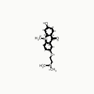 CN(C)CCOc1ccc2c(c1)c(=O)c1ccc(Cl)cc1n2C